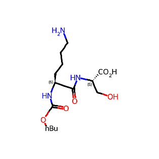 CCCCOC(=O)N[C@@H](CCCCN)C(=O)N[C@@H](CO)C(=O)O